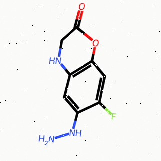 NNc1cc2c(cc1F)OC(=O)CN2